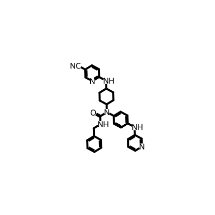 N#Cc1ccc(NC2CCC(N(C(=O)NCc3ccccc3)c3ccc(Nc4cccnc4)cc3)CC2)nc1